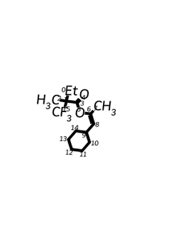 CCC(C)(C(=O)O/C(C)=C\C1CCCCC1)C(F)(F)F